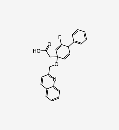 O=C(O)CC1(OCc2ccc3ccccc3n2)C=CC(c2ccccc2)C(F)=C1